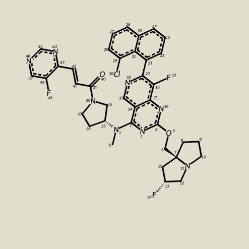 CN(c1nc(OC[C@@]23CCCN2C[C@H](F)C3)nc2c(F)c(-c3cccc4cccc(Cl)c34)ncc12)[C@@H]1CCN(C(=O)C=Cc2ncncc2F)C1